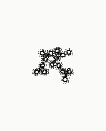 c1ccc(-c2ccc(-c3cc(-c4cccc(-n5c6ccccc6c6cc(-c7ccc8c(c7)c7ccccc7n8-c7ccccc7)ccc65)c4)nc(-n4c5ccccc5c5cc(-c6ccc7c(c6)c6ccccc6n7-c6ccccc6)ccc54)n3)c(-c3ccccc3)c2)cc1